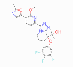 COc1nc(-c2nnc3n2CCCC3(Oc2cc(F)c(F)c(F)c2)C(C)(C)O)ccc1-c1cnc(C)o1